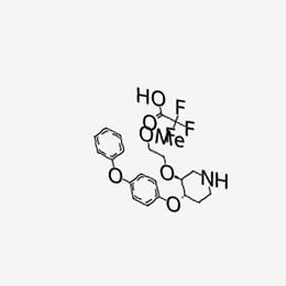 COCCO[C@H]1CNCC[C@@H]1Oc1ccc(Oc2ccccc2)cc1.O=C(O)C(F)(F)F